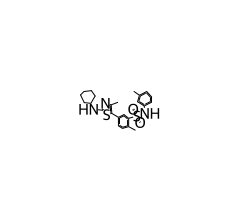 Cc1cccc(NS(=O)(=O)c2cc(-c3sc(NC4CCCCC4)nc3C)ccc2C)c1